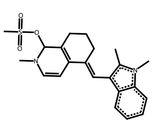 Cc1c(C=C2CCCC3=C2C=CN(C)C3OS(C)(=O)=O)c2ccccc2n1C